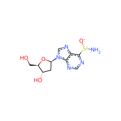 N[S+]([O-])c1ncnc2c1ncn2[C@H]1C[C@H](O)[C@@H](CO)O1